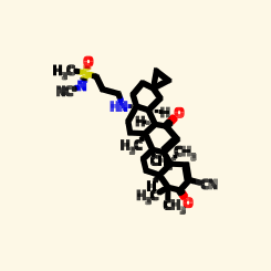 CC1(C)C(=O)C(C#N)=C[C@]2(C)C3=CC(=O)[C@@H]4[C@@H]5CC6(CC6)CC[C@]5(NCCCS(C)(=O)=NC#N)CC[C@@]4(C)[C@]3(C)CC[C@@H]12